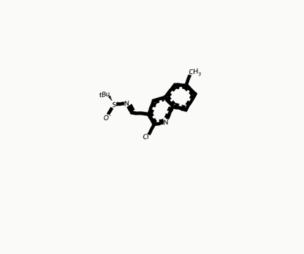 Cc1ccc2nc(Cl)c(/C=N/[S@+]([O-])C(C)(C)C)cc2c1